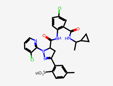 Cc1ccc(S(=O)(=O)O)c(C2=NN(c3ncccc3Cl)C(C(=O)Nc3ccc(Cl)cc3C(=O)NC(C)C3CC3)C2)c1